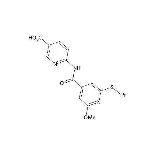 COc1cc(C(=O)Nc2ccc(C(=O)O)cn2)cc(SC(C)C)n1